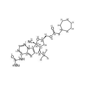 CCCCC(=O)Nc1ncnn2c([C@]3(C#N)O[C@@H](COC(=O)CC4CCCCCC4)[CH][C@H]3O[Si](C)(C)C)ccc12